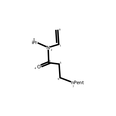 C=CN(C(=O)CCCCCCC)C(C)C